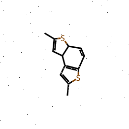 CC1=CC2c3cc(C)sc3C=CC2S1